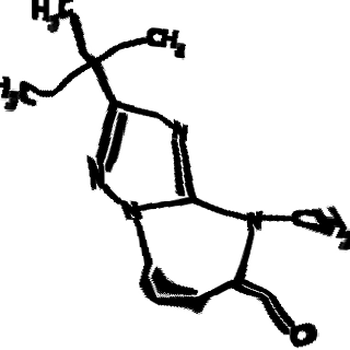 Cn1c(=O)ccn2nc(C(C)(C)C)nc12